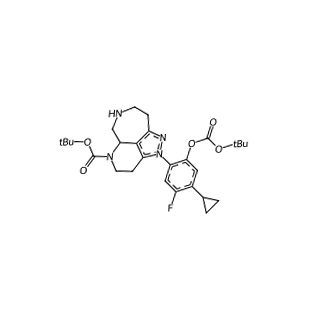 CC(C)(C)OC(=O)Oc1cc(C2CC2)c(F)cc1-n1nc2c3c1CCN(C(=O)OC(C)(C)C)C3CNCC2